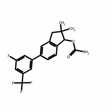 CC1(C)Cc2cc(-c3cc(F)cc(C(F)(F)F)c3)ccc2C1OC(N)=O